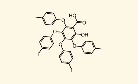 Cc1ccc(Oc2c(O)c(C(=O)O)c(Oc3ccc(C)cc3)c(Oc3ccc(I)cc3)c2Oc2ccc(I)cc2)cc1